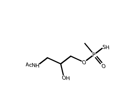 CC(=O)NCC(O)COP(C)(=O)S